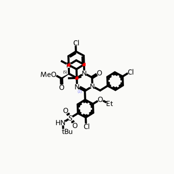 CCOc1cc(Cl)c(S(=O)(=O)NC(C)(C)C)cc1/C(=N/C(C)(C)C1C=CC(Cl)=CC1)N(Cc1ccc(Cl)cc1)C(=O)N1CCN(C)[C@H](C(=O)OC)C1